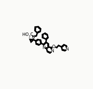 O=C(O)N(Cc1ccccc1)C1(c2ccc(-c3nc4ccnc(OCCc5ccncc5)c4cc3-c3ccccc3)cc2)CC1